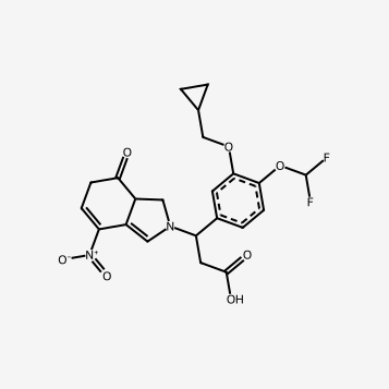 O=C(O)CC(c1ccc(OC(F)F)c(OCC2CC2)c1)N1C=C2C([N+](=O)[O-])=CCC(=O)C2C1